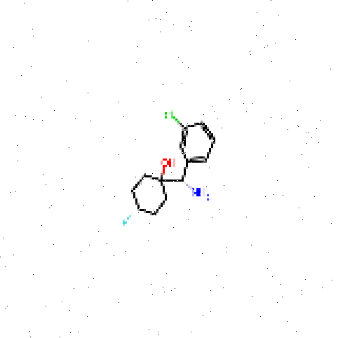 N[C@@H](c1cccc(Cl)c1)[C@]1(O)CC[C@H](F)CC1